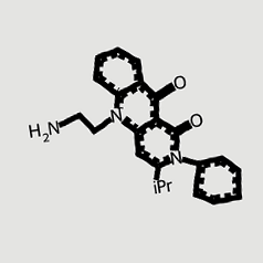 CC(C)c1cc2c(c(=O)c3ccccc3n2CCN)c(=O)n1-c1ccccc1